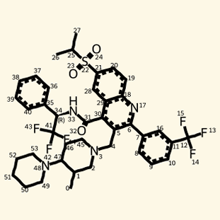 CC1CN(Cc2c(-c3cccc(C(F)(F)F)c3)nc3ccc(S(=O)(=O)C(C)C)cc3c2C(=O)N[C@H](c2ccccc2)C(F)(F)F)CCC1N1CCCCC1